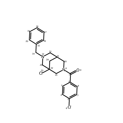 O=C(c1ccc(Cl)cc1)N1CC2CN(Cc3ccccc3)CC(Cl)(C2)C1